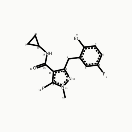 CCc1ccc(F)cc1Cc1nn(C)c(F)c1C(=O)NC1CC1